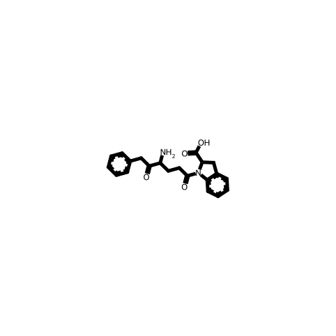 NC(CCC(=O)N1c2ccccc2CC1C(=O)O)C(=O)Cc1ccccc1